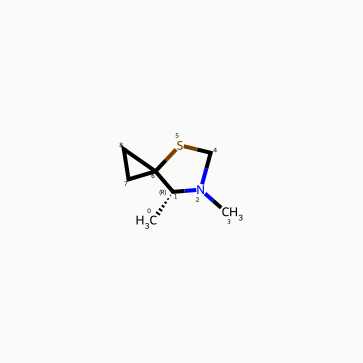 C[C@H]1N(C)CSC12CC2